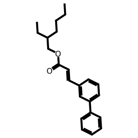 CCCCC(CC)COC(=O)/C=C/c1cccc(-c2ccccc2)c1